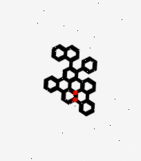 c1ccc(-c2c(-c3cccc4ccccc34)cc3c4ccccc4c4ccccc4c3c2-c2cccc3c2ccc2ccccc23)cc1